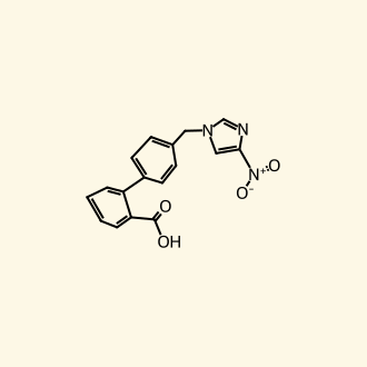 O=C(O)c1ccccc1-c1ccc(Cn2cnc([N+](=O)[O-])c2)cc1